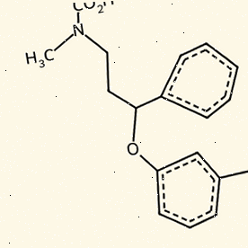 CN(CCC(Oc1cccc(I)c1)c1ccccc1)C(=O)O